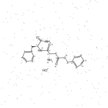 Cl.NC(=O)[C@H](Cc1ccccc1)NC(=O)[C@@H](N)CC(=O)OCc1ccccc1